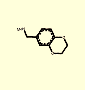 [CH2-][NH2+]Cc1ccc2c(c1)OCCO2